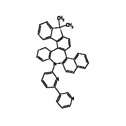 CC1(C)c2ccccc2-c2c1ccc1c2C2=C(C=CCC2)N(c2cccc(-c3cccnc3)n2)c2ccc3ccccc3c2-1